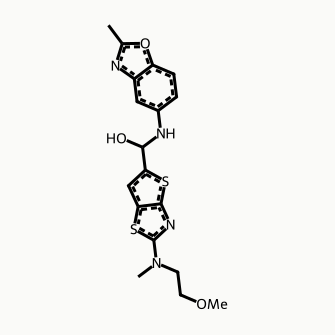 COCCN(C)c1nc2sc(C(O)Nc3ccc4oc(C)nc4c3)cc2s1